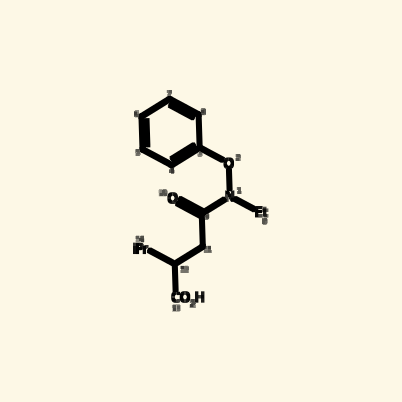 CCN(Oc1ccccc1)C(=O)CC(C(=O)O)C(C)C